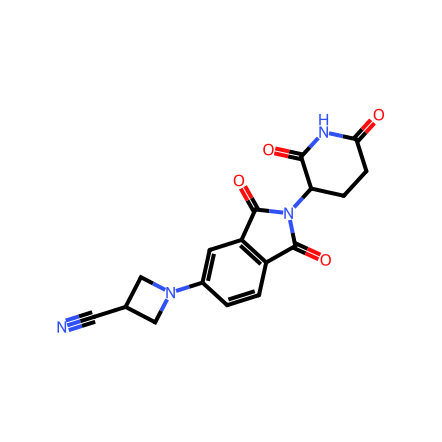 N#CC1CN(c2ccc3c(c2)C(=O)N(C2CCC(=O)NC2=O)C3=O)C1